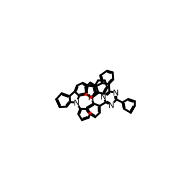 C1=Cc2c(c3ccc4c5ccccc5n(-c5ccccc5)c4c3n2-c2ccccc2-c2nc(-c3ccccc3)nc(-c3ccccc3-c3ccccc3)n2)CC1